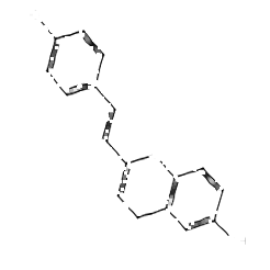 Oc1ccc(C=CC2=CCc3cc(O)ccc3O2)cc1